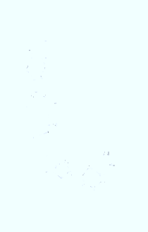 C=C(N)c1cccc(-c2csc(SCC(=O)NC3CCN(Cc4ccc(Cl)c(Cl)c4)CC3)n2)c1